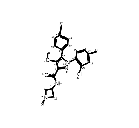 COc1c(C(=O)NC2CN(C)C2)nn(-c2ccc(C)cc2Cl)c1-c1ccc(C)cc1